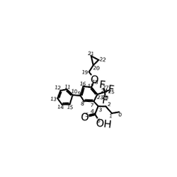 CCCC(C(=O)O)c1cc(-c2ccccc2)cc(OCC2CC2)c1C(F)(F)F